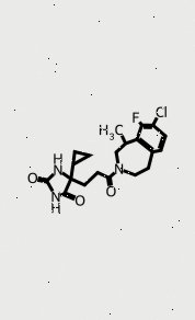 CC1CN(C(=O)CCC2(C3CC3)NC(=O)NC2=O)CCc2ccc(Cl)c(F)c21